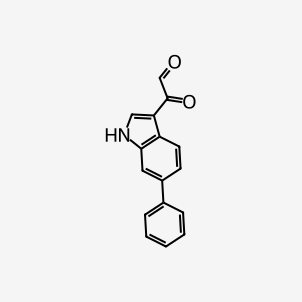 O=CC(=O)c1c[nH]c2cc(-c3ccccc3)ccc12